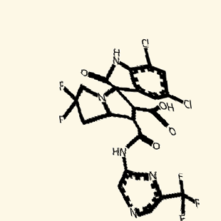 O=C(Nc1cncc(C(F)(F)F)n1)C1C2CC(F)(F)CN2C2(C(=O)Nc3c(Cl)cc(Cl)cc32)C1C(=O)O